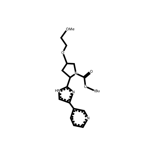 COCCOC1CC(c2nc(-c3cccnc3)c[nH]2)N(C(=O)OC(C)(C)C)C1